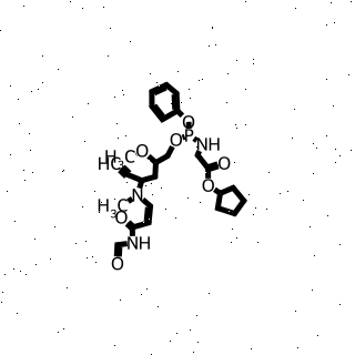 C#CC(CC(COP(NCC(=O)OC1CCCC1)Oc1ccccc1)OC)N(C)/C=C\C(=O)NC=O